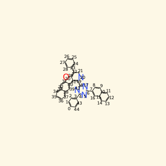 c1ccc(-c2nc(-c3ccc4ccccc4c3)nc(-c3ncc(-c4ccccc4)c4oc5cc6ccccc6cc5c34)n2)cc1